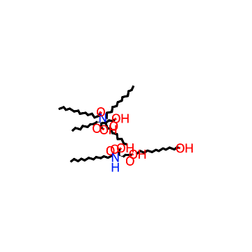 CCCCCCCCCCCC(=O)N[C@@H](CCC(=O)O)C(=O)O.CCCCCCCCCCCCN(C(=O)CCCCCCCCCCC)[C@](CCCCCCCC)(C(=O)O)C(CCCCCCCC)CC(=O)O.CCCCCCCCCCCCO